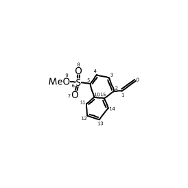 C=Cc1ccc(S(=O)(=O)OC)c2ccccc12